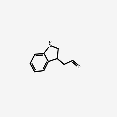 O=CCC1CNc2ccccc21